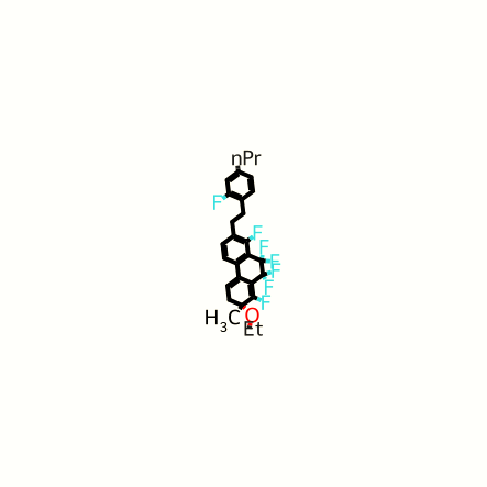 CCCc1ccc(CCc2ccc3c(c2F)C(F)(F)C(F)(F)C2=C(F)C(C)(OCC)CC=C23)c(F)c1